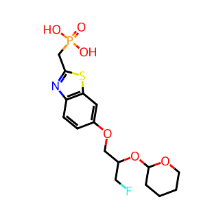 O=P(O)(O)Cc1nc2ccc(OCC(CF)OC3CCCCO3)cc2s1